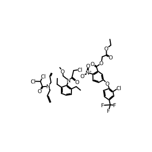 C=CCN(CC=C)C(=O)C(Cl)Cl.CCOC(=O)COC(=O)c1cc(Oc2ccc(C(F)(F)F)cc2Cl)ccc1[N+](=O)[O-].CCc1cccc(CC)c1N(COC)C(=O)CCl